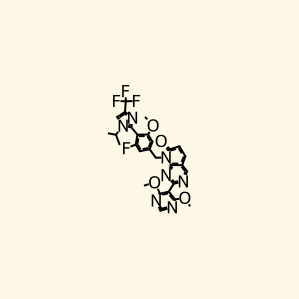 COc1cc(Cn2c(=O)ccc3cnc(-c4c(OC)ncnc4OC)nc32)cc(F)c1-c1nc(C(F)(F)F)cn1C(C)C